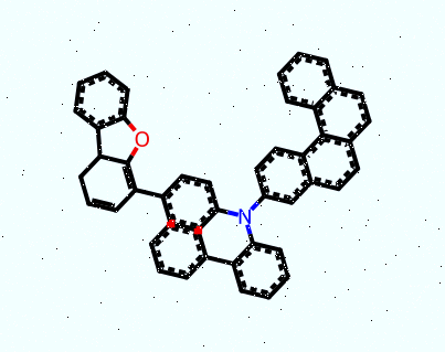 C1=CC(c2ccc(N(c3ccc4c(ccc5ccc6ccccc6c54)c3)c3ccccc3-c3ccccc3)cc2)=C2Oc3ccccc3C2C1